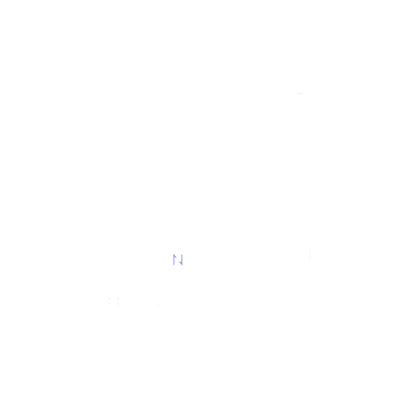 C/C(=N\[S+]([O-])I)c1ccc(F)cc1F